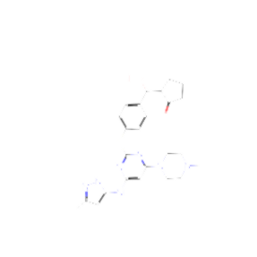 Cc1cc(Nc2cc(N3CCN(C)CC3)nc(Sc3ccc(C(O)C4CCCC4=O)cc3)n2)[nH]n1